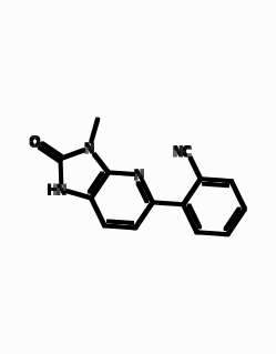 Cn1c(=O)[nH]c2ccc(-c3ccccc3C#N)nc21